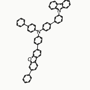 c1ccc(-c2ccc(N(c3ccc(-c4cccc(-n5c6ccccc6c6ccccc65)c4)cc3)c3ccc(-c4ccc5c(c4)oc4cc(-c6ccccc6)ccc45)cc3)cc2)cc1